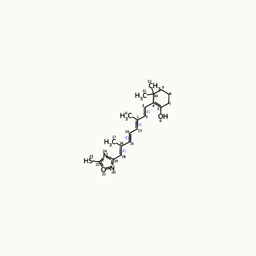 CC(/C=C/C1=C(O)CCCC1(C)C)=C\C=C\C(C)=C\c1noc(S)n1